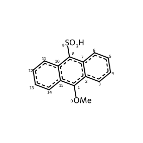 COc1c2ccccc2c(S(=O)(=O)O)c2ccccc12